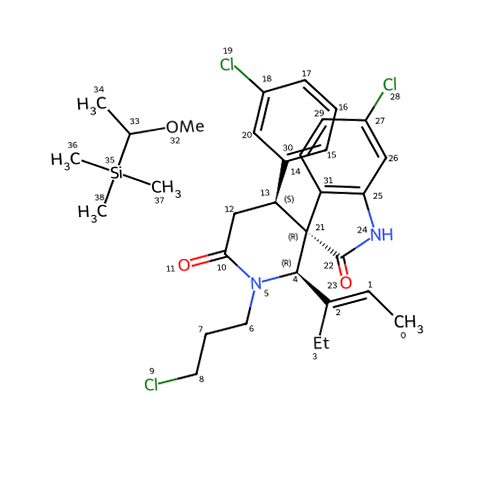 CC=C(CC)[C@H]1N(CCCCl)C(=O)C[C@@H](c2cccc(Cl)c2)[C@]12C(=O)Nc1cc(Cl)ccc12.COC(C)[Si](C)(C)C